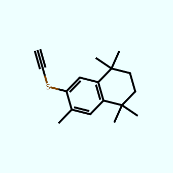 C#CSc1cc2c(cc1C)C(C)(C)CCC2(C)C